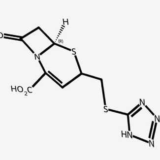 O=C(O)C1=CC(CSc2nnn[nH]2)S[C@@H]2CC(=O)N12